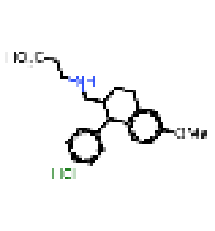 COc1ccc2c(c1)CCC(CNCCC(=O)O)C2c1ccccc1.Cl